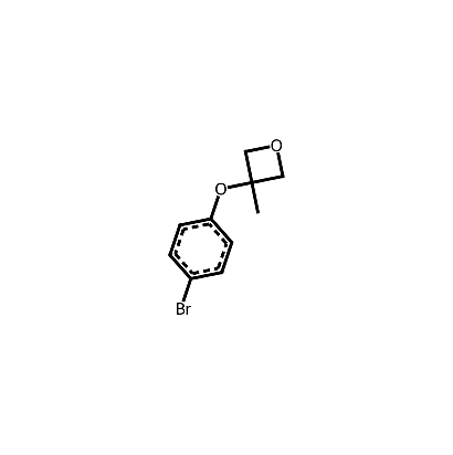 CC1(Oc2ccc(Br)cc2)COC1